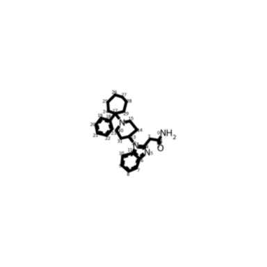 NC(=O)Cc1nc2ccccc2n1C1CCN(C2(c3ccccc3)CCCCCC2)CC1